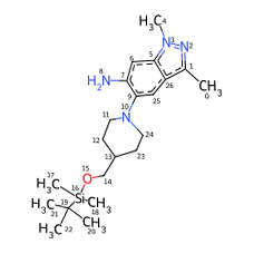 Cc1nn(C)c2cc(N)c(N3CCC(CO[Si](C)(C)C(C)(C)C)CC3)cc12